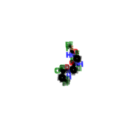 O=C(CSC(F)(F)F)Nc1c(F)ccc(NC(=O)c2cc(NC(=O)[C@H]3[C@H](c4cccc(C(F)(F)F)c4)C3(Cl)Cl)ccc2Cl)c1F